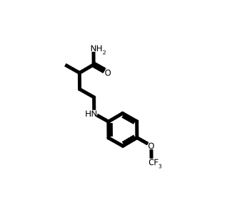 CC(CCNc1ccc(OC(F)(F)F)cc1)C(N)=O